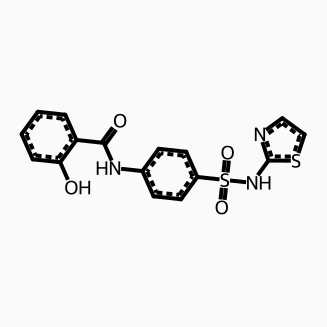 O=C(Nc1ccc(S(=O)(=O)Nc2nccs2)cc1)c1ccccc1O